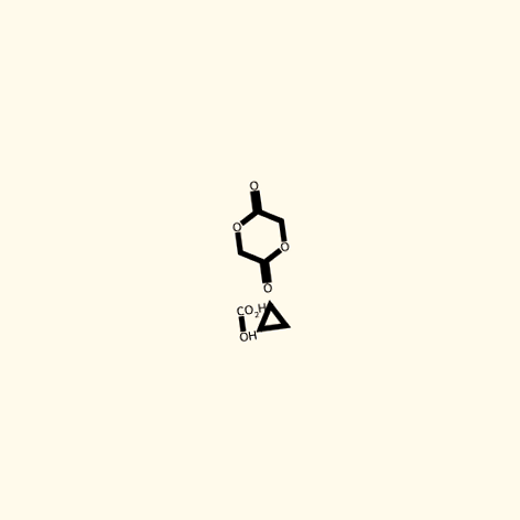 C1CC1.O=C(O)O.O=C1COC(=O)CO1